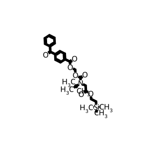 CC(C)(C)N(CC(=O)OCC[Si](C)(C)C)C(=O)OCOC(=O)c1ccc(C(=O)c2ccccc2)cc1